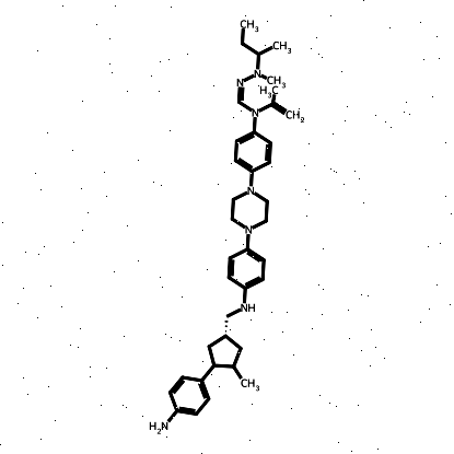 C=C(C)N(/C=N\N(C)C(C)CC)c1ccc(N2CCN(c3ccc(NC[C@@H]4CC(C)C(c5ccc(N)cc5)C4)cc3)CC2)cc1